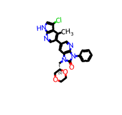 Cc1c(-c2cnc3c(c2)n(C[C@H]2COCCO2)c(=O)n3-c2ccccc2)cnc2[nH]cc(Cl)c12